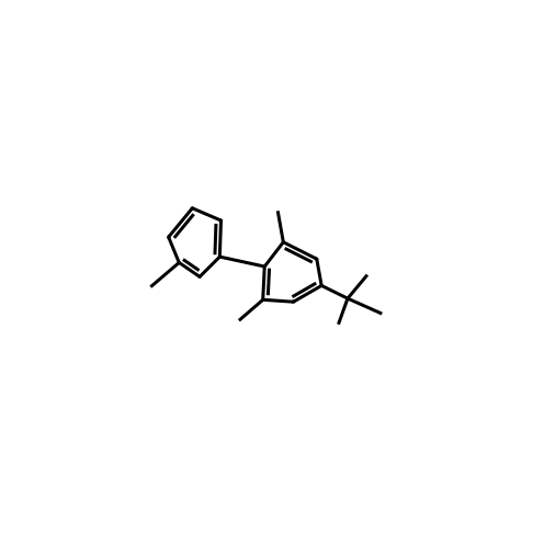 Cc1cccc(-c2c(C)cc(C(C)(C)C)cc2C)c1